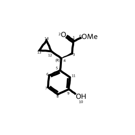 COC(=O)C[C@@H](c1cccc(O)c1)C1CC1